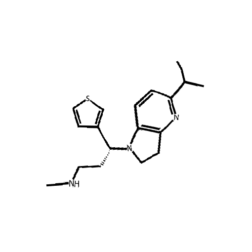 CNCC[C@H](c1ccsc1)N1CCc2nc(C(C)C)ccc21